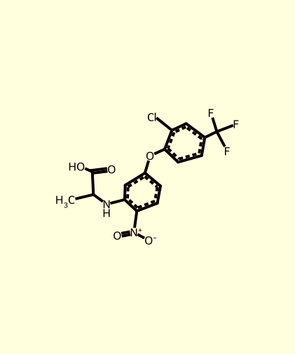 CC(Nc1cc(Oc2ccc(C(F)(F)F)cc2Cl)ccc1[N+](=O)[O-])C(=O)O